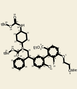 CCOC(=O)c1ccc(OCCOC)c(F)c1-c1cc(C(CN(C(=O)OC(C)(C)C)C2CCC(NC(=O)OC(C)(C)C)CC2)c2ccccc2)ccc1Cl